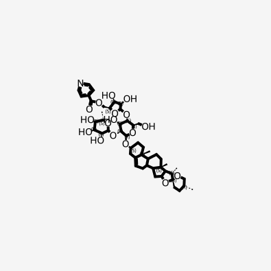 C[C@@H]1CC[C@@]2(OC1)OC1CC3C4CC=C5C[C@@H](O[C@@H]6O[C@H](CO)[C@@H](OC7O[C@@H](COC(=O)c8ccncc8)[C@H](O)[C@H]7O)[C@H](O)[C@H]6OC6O[C@@H](C)[C@H](O)[C@@H](O)[C@H]6O)CC[C@]5(C)C4CC[C@]3(C)C1[C@@H]2C